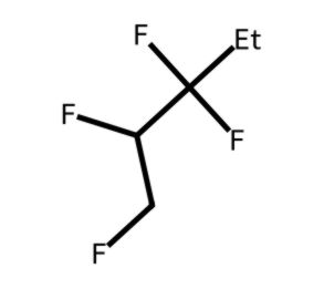 CCC(F)(F)C(F)CF